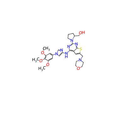 COc1cc(-n2cnc(Nc3nc(N4CCCC4CO)nc4sc(CN5CCOCC5)cc34)c2)cc(OC)c1OC